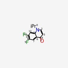 CC(C)n1ccc(=O)c2cc(F)c(F)cc21